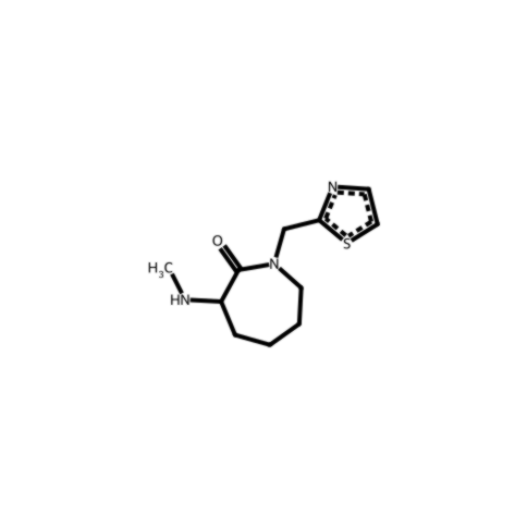 CNC1CCCCN(Cc2nccs2)C1=O